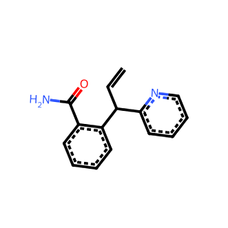 C=CC(c1ccccn1)c1ccccc1C(N)=O